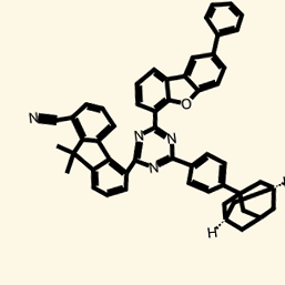 CC1(C)c2cccc(-c3nc(-c4ccc(C56CC7C[C@H](C5)C[C@@H](C7)C6)cc4)nc(-c4cccc5c4oc4ccc(-c6ccccc6)cc45)n3)c2-c2cccc(C#N)c21